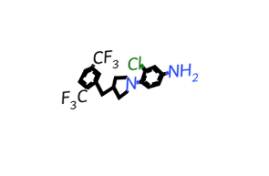 Nc1ccc(N2CCC(Cc3cc(C(F)(F)F)ccc3C(F)(F)F)CC2)c(Cl)c1